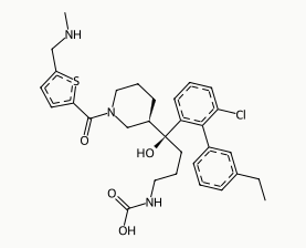 CCc1cccc(-c2c(Cl)cccc2[C@](O)(CCCNC(=O)O)[C@@H]2CCCN(C(=O)c3ccc(CNC)s3)C2)c1